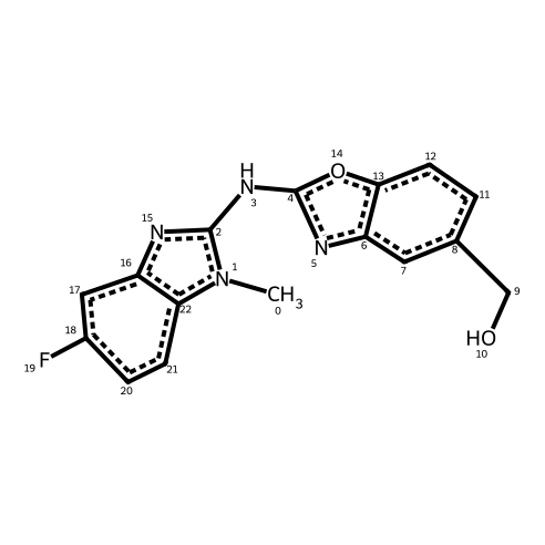 Cn1c(Nc2nc3cc(CO)ccc3o2)nc2cc(F)ccc21